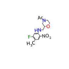 CC(=O)N1CCOC(CNc2cc(F)c(C)cc2[N+](=O)[O-])C1